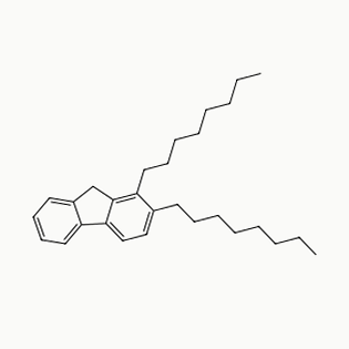 CCCCCCCCc1ccc2c(c1CCCCCCCC)Cc1ccccc1-2